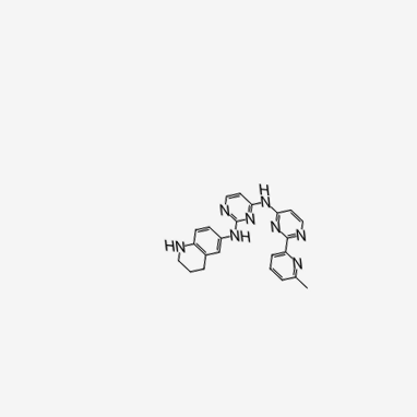 Cc1cccc(-c2nccc(Nc3ccnc(Nc4ccc5c(c4)CCCN5)n3)n2)n1